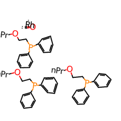 CCCOCCP(c1ccccc1)c1ccccc1.CCCOCCP(c1ccccc1)c1ccccc1.CCCOCCP(c1ccccc1)c1ccccc1.[C]=O.[Rh]